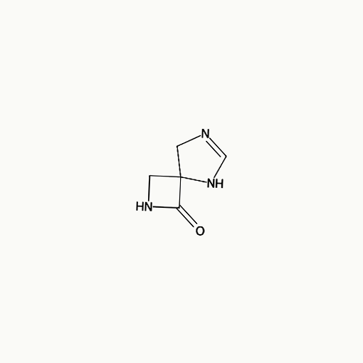 O=C1NCC12CN=CN2